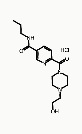 CCCNC(=O)c1ccc(C(=O)N2CCN(CCO)CC2)nc1.Cl